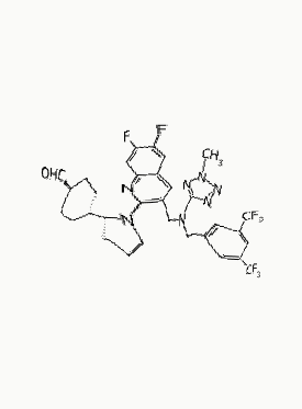 Cn1nnc(N(Cc2cc(C(F)(F)F)cc(C(F)(F)F)c2)Cc2cc3cc(F)c(F)cc3nc2N2CCC[C@@H]2[C@H]2CC[C@H](C=O)CC2)n1